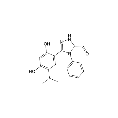 CC(C)c1cc(C2=NNC(C=O)N2c2ccccc2)c(O)cc1O